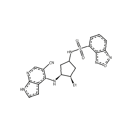 CC[C@@H]1CC(NS(=O)(=O)c2cccc3nonc23)C[C@@H]1Nc1c(C#N)cnc2[nH]ccc12